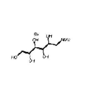 CNC[C@H](O)[C@@H](O)[C@H](O)[C@H](O)CO.[Sb]